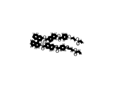 C=CC(=O)OCCCOc1ccc(C(=O)Oc2ccc3cc(C(=O)Oc4cc(-c5c(OC(=O)c6ccc7cc(OC(=O)c8ccc(OCCCOC(=O)C=C)cc8)ccc7c6)ccc6ccccc56)c5ccccc5c4)ccc3c2)cc1